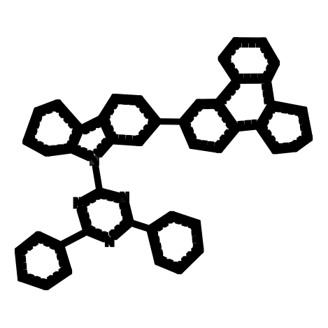 c1ccc(-c2nc(-c3ccccc3)nc(-n3c4ccccc4c4ccc(-c5ccc6c7ccccc7c7ccccc7c6c5)cc43)n2)cc1